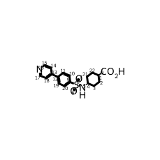 O=C(O)[C@H]1CC[C@H](NS(=O)(=O)c2ccc(-c3ccncc3)cc2)CC1